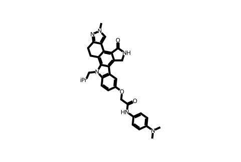 CC(C)Cn1c2ccc(OCC(=O)Nc3ccc(N(C)C)cc3)cc2c2c3c(c4c(c21)CCc1nn(C)cc1-4)C(=O)NC3